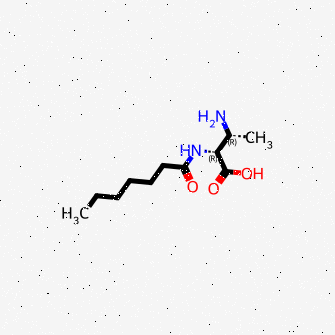 CCCCCCC(=O)N[C@@H](C(=O)O)[C@@H](C)N